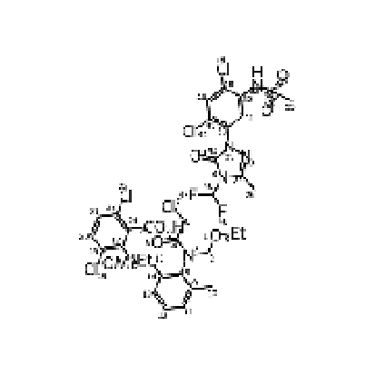 CCOCN(C(=O)CCl)c1c(C)cccc1CC.COc1c(Cl)ccc(Cl)c1C(=O)O.Cc1nn(-c2cc(NS(C)(=O)=O)c(Cl)cc2Cl)c(=O)n1C(F)F